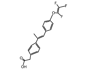 C/C(=C\c1ccc(OC(F)=C(F)F)cc1)c1ccc(CC(=O)O)cc1